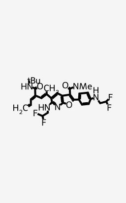 C=C/C=C(\C=C(/C)c1cc2c(C(=O)NC)c(-c3ccc(NCC(F)F)cc3)oc2nc1NCC(F)F)C(=O)NC(C)(C)C